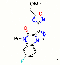 COCc1nc(-c2ncn3c2c(=O)n(C(C)C)c2cc(F)ccc23)no1